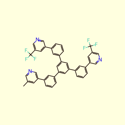 Cc1cncc(-c2cccc(-c3cc(-c4cccc(-c5cncc(C(F)(F)F)c5)c4)cc(-c4cccc(-c5cncc(C(F)(F)F)c5)c4)c3)c2)c1